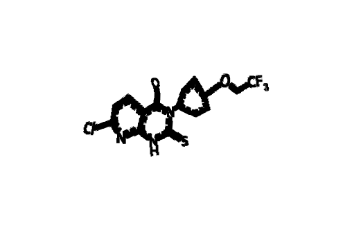 O=c1c2ccc(Cl)nc2[nH]c(=S)n1-c1ccc(OCC(F)(F)F)cc1